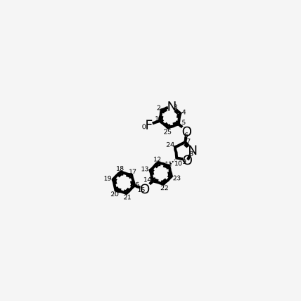 Fc1cncc(OC2=NO[C@H](c3ccc(Oc4ccccc4)cc3)C2)c1